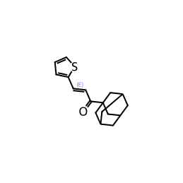 O=C(/C=C/c1cccs1)C12CC3CC(CC(C3)C1)C2